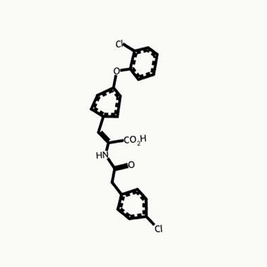 O=C(Cc1ccc(Cl)cc1)N/C(=C/c1ccc(Oc2ccccc2Cl)cc1)C(=O)O